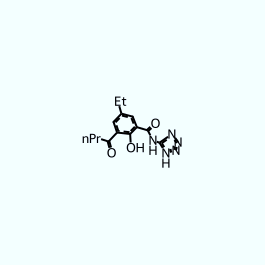 CCCC(=O)c1cc(CC)cc(C(=O)Nc2nnn[nH]2)c1O